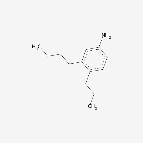 CCCCc1cc(N)ccc1CCC